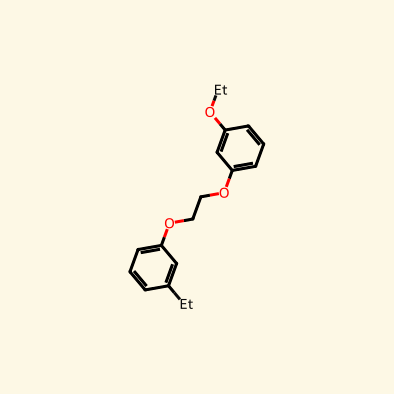 CCOc1cccc(OCCOc2cccc(CC)c2)c1